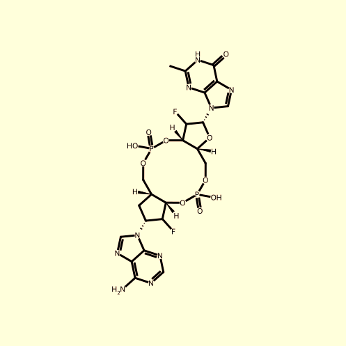 Cc1nc2c(ncn2[C@@H]2O[C@@H]3COP(=O)(O)O[C@@H]4C(F)[C@H](n5cnc6c(N)ncnc65)C[C@@H]4COP(=O)(O)O[C@@H]3C2F)c(=O)[nH]1